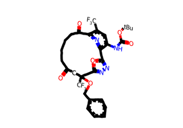 CC(C)(C)OC(=O)Nc1cc(C(F)(F)F)c2nc1-c1nnc(o1)C(OCc1ccccc1)(C(F)(F)F)CC(=O)CCCCC2=O